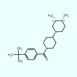 C[C@@H]1CCN(C2CCN(C(=O)c3ccc(C(C)(C)C)cc3)CC2)C[C@@H]1C